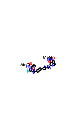 COC(=O)N[C@H]1CCc2ccn3c2C1C(=O)C[C@H](c1ncc(-c2ccc(-c4ccc5cc(-c6cnc([C@@H]7CC(F)(F)CN7C(=O)[C@@H](NC(=O)OC)C(C)C)[nH]6)ccc5c4)cc2)[nH]1)C3